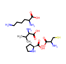 CC(C)C(N)C(=O)O.NC(CS)C(=O)O.NCCCCC(N)C(=O)O.O=C(O)[C@@H]1CCCN1